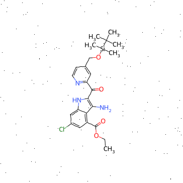 CCOC(=O)c1cc(Cl)cc2[nH]c(C(=O)c3cc(CO[Si](C)(C)C(C)(C)C)ccn3)c(N)c12